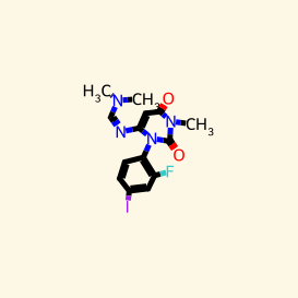 CN(C)/C=N\c1cc(=O)n(C)c(=O)n1-c1ccc(I)cc1F